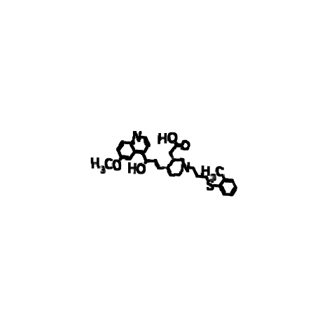 COc1ccc2nccc(C(O)CC[C@@H]3CCN(CCCSc4ccccc4C)C[C@@H]3CC(=O)O)c2c1